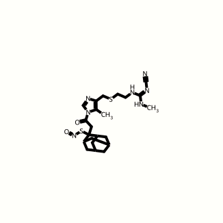 CN/C(=N/C#N)NCCSCc1ncn(C(=O)CC2(SN=O)C3CC4CC(C3)CC2C4)c1C